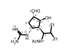 CCC(CC)C(NC(C)=O)[C@@H]1[C@H](O)[C@@H](C=O)C[C@H]1NC(=N)N